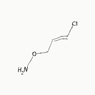 NOCC=CCl